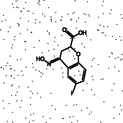 O=C(O)C1CC(=NO)c2cc(F)ccc2O1